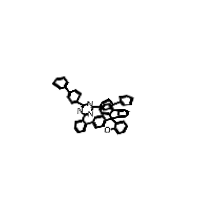 c1ccc(-c2ccc(-c3nc(-c4ccc(-c5ccccc5)cc4)nc(-c4ccccc4-c4ccc5c(c4)Oc4ccccc4C54c5ccccc5-c5ccccc54)n3)cc2)cc1